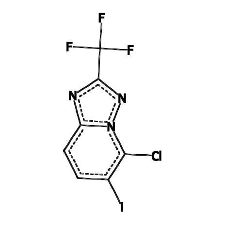 FC(F)(F)c1nc2ccc(I)c(Cl)n2n1